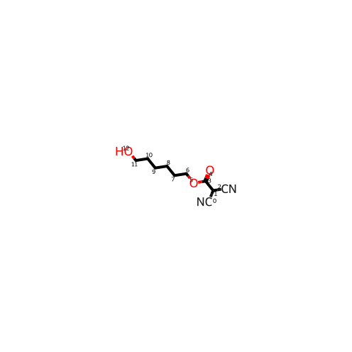 N#CC(C#N)C(=O)OCCCCCCO